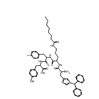 CCCCCCCC(=O)NCCCC(NC(=O)C(N)Cc1cn(C(c2ccccc2)c2ccccc2)cn1)C(=O)NC(Cc1ccc(C)cc1)C(=O)NC(Cc1ccc(O)cc1)C(=O)O